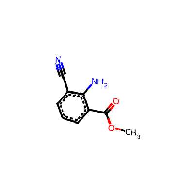 COC(=O)c1cccc(C#N)c1N